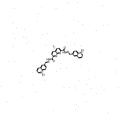 CC[n+]1cccc2cc(C=NNC(=O)c3ccc4ccc(C(=O)NN=Cc5ccc6c(ccc[n+]6CC)c5)nc4n3)ccc21.[I-].[I-]